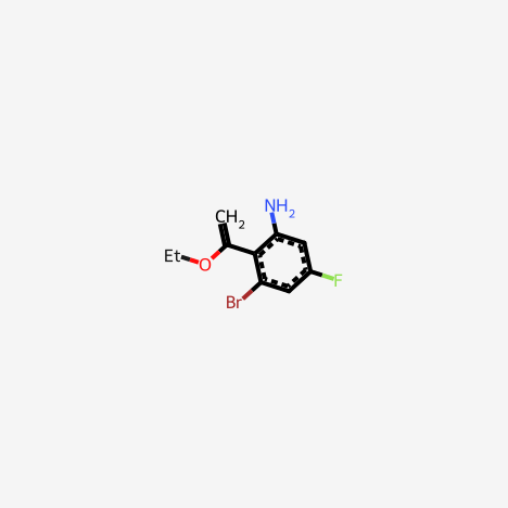 C=C(OCC)c1c(N)cc(F)cc1Br